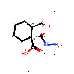 NNC(=O)[C@]1(C(=O)O)CCCC[C@H]1CO